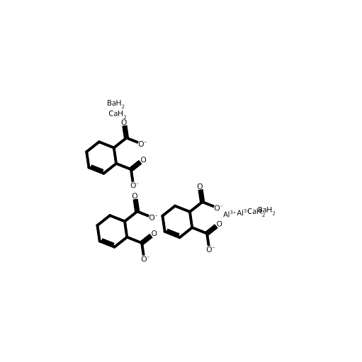 O=C([O-])C1C=CCCC1C(=O)[O-].O=C([O-])C1C=CCCC1C(=O)[O-].O=C([O-])C1C=CCCC1C(=O)[O-].[Al+3].[Al+3].[BaH2].[BaH2].[CaH2].[CaH2]